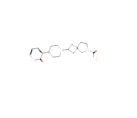 O=C(O)N1CCC2(CC(N3CCC(c4ccc[nH]c4=O)CC3)C2)C1